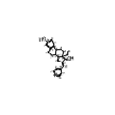 CCC12CCC3c4ccc(O)cc4CCC3C1CC(=Cc1ccncc1)C2O